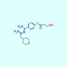 N/C(=N\N(N)CC1CCOCC1)c1ccc(SNCCO)cc1